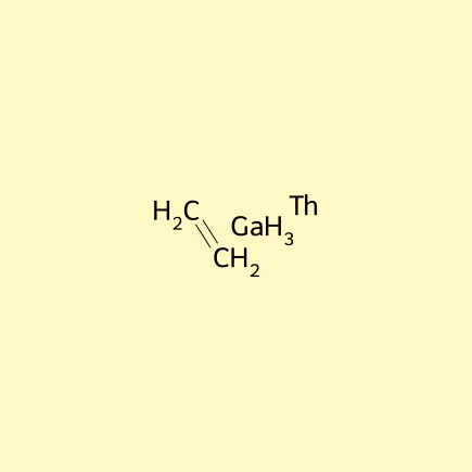 C=C.[GaH3].[Th]